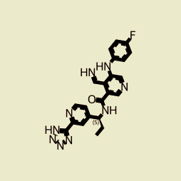 CC[C@H](NC(=O)c1cncc(Nc2ccc(F)cc2)c1C=N)c1ccnc(-c2nnn[nH]2)c1